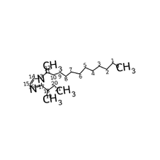 CCCCCCCCCCCC(C)n1ccnc1C(C)CC